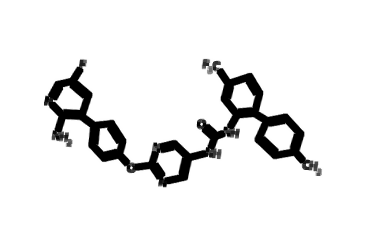 Cc1ccc(-c2ccc(C(F)(F)F)cc2NC(=O)Nc2cnc(Oc3ccc(-c4cc(F)cnc4N)cc3)nc2)cc1